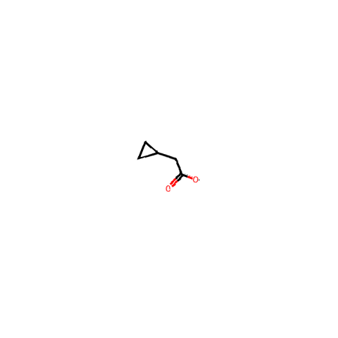 [O]C(=O)CC1CC1